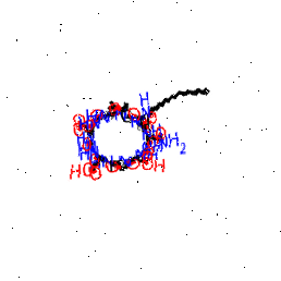 CCCCCCCCCCCCCCCC(=O)N[C@H]1C[C@H]2C(=O)N[C@@H](CCC(N)=O)C(=O)NC(=O)N[C@@H](CC(=O)O)C(=O)N3CCC[C@H]3C(=O)N[C@H](CCC(=O)O)C(=O)NNC(=O)N[C@@H](CCC(=O)O)C(=O)NC(=O)N[C@H](CC(C)C)C(=O)N(CCC)CC(=O)N2C1